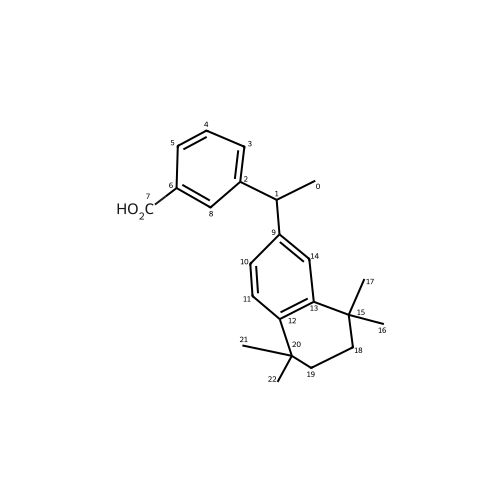 CC(c1cccc(C(=O)O)c1)c1ccc2c(c1)C(C)(C)CCC2(C)C